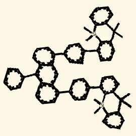 CC1(C)c2ccccc2[Si](C)(C)c2c(-c3ccc(-c4cccc5c(-c6ccccc6)c6cccc(-c7ccc(-c8cccc9c8[Si](C)(C)c8ccccc8C9(C)C)cc7)c6cc45)cc3)cccc21